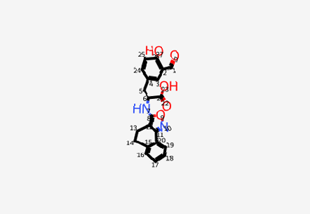 O=Cc1cc(C[C@H](Nc2onc3c2CCc2ccccc2-3)C(=O)O)ccc1O